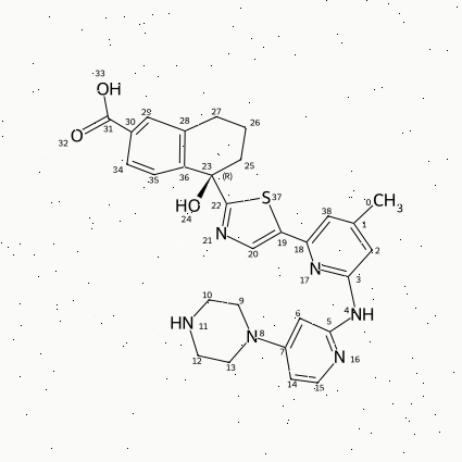 Cc1cc(Nc2cc(N3CCNCC3)ccn2)nc(-c2cnc([C@@]3(O)CCCc4cc(C(=O)O)ccc43)s2)c1